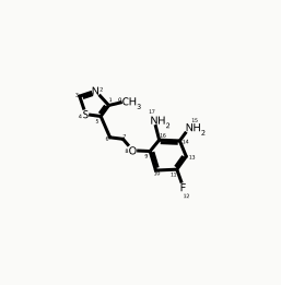 Cc1ncsc1CCOc1cc(F)cc(N)c1N